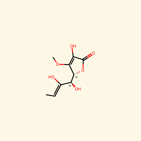 CC=C(O)[C@H](O)[C@H]1OC(=O)C(O)=C1OC